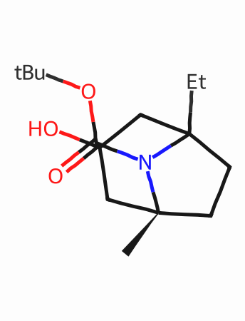 CCC12CC[C@](C)(CC(O)C1)N2C(=O)OC(C)(C)C